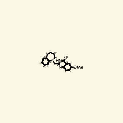 COc1ccc2nc(CN3CCCCc4ccccc43)[nH]c(=O)c2c1